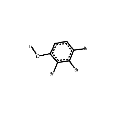 [Ti][O]c1ccc(Br)c(Br)c1Br